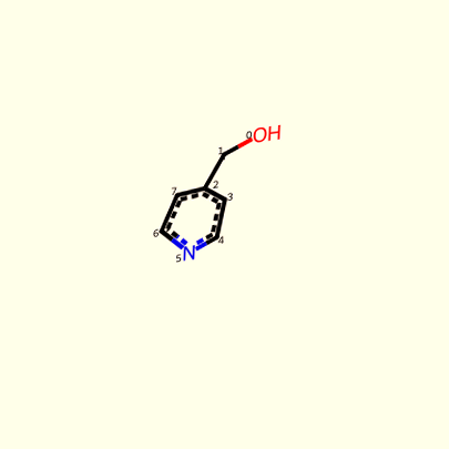 O[CH]c1ccncc1